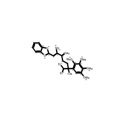 CCC(CC)C(C#N)(CCC(OC(C)=O)C(CC1Oc2ccccc2O1)[N+](=O)[O-])c1cc(OC)c(OC)c(OC)c1OC